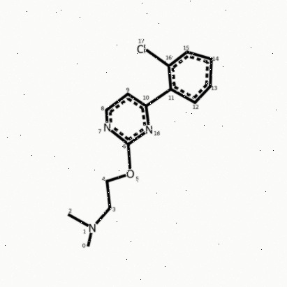 CN(C)CCOc1nccc(-c2ccccc2Cl)n1